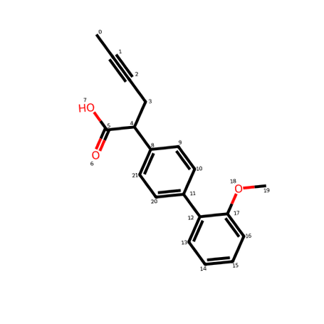 CC#CCC(C(=O)O)c1ccc(-c2ccccc2OC)cc1